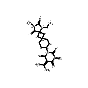 CCN1C(=O)C(=C(N)N)C(=O)N(C2CCC3(CC2)CC2(C3)C(=O)N(C)C(=O)N2CC(F)(F)F)C1=O